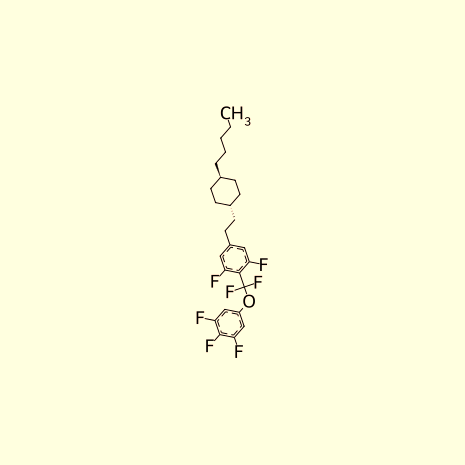 CCCCC[C@H]1CC[C@H](CCc2cc(F)c(C(F)(F)Oc3cc(F)c(F)c(F)c3)c(F)c2)CC1